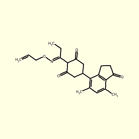 C=CCON=C(CC)C1C(=O)CC(c2c(C)cc(C)c3c2CCC3=O)CC1=O